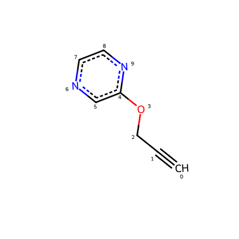 C#CCOc1cnccn1